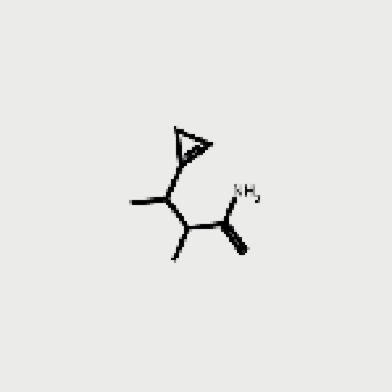 C=C(N)C(C)C(C)C1=CC1